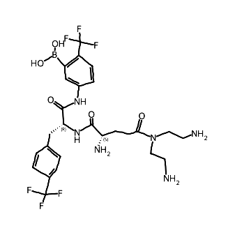 NCCN(CCN)C(=O)CC[C@H](N)C(=O)N[C@H](Cc1ccc(C(F)(F)F)cc1)C(=O)Nc1ccc(C(F)(F)F)c(B(O)O)c1